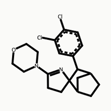 Clc1ccc(C2C3CCC(C3)C23CCC(N2CCOCC2)=N3)cc1Cl